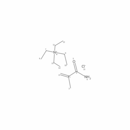 C=C(C)C(N)=O.CC[N+](CC)(CC)CC.[Cl-]